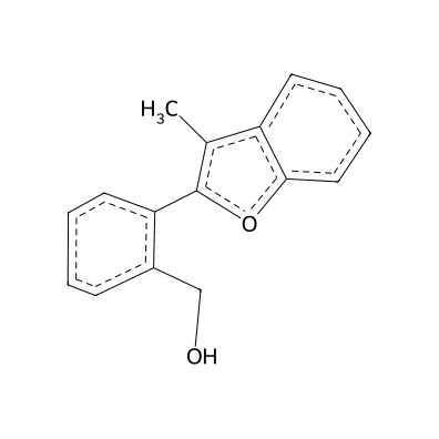 Cc1c(-c2ccccc2CO)oc2ccccc12